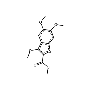 COC(=O)c1sc2cc(OC)c(OC)cc2c1OC